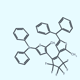 Cc1sc(B(c2ccccc2)c2ccccc2)cc1C1=C(c2cc(C(c3ccccc3)c3ccccc3)sc2C)C(F)(F)C(F)(F)C1(F)F